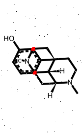 CC(=O)N1CC[C@]23CCN(C)[C@H](Cc4ccc(O)cc42)[C@@H]3C1